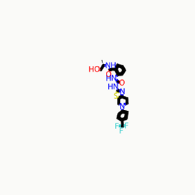 C[C@@H](CO)NC(=O)c1ccccc1NC(=O)Nc1nc2c(s1)CN(c1ccc(C(F)(F)F)cc1)CC2